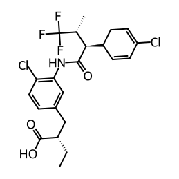 CC[C@@H](Cc1ccc(Cl)c(NC(=O)[C@H](C2C=CC(Cl)=CC2)[C@@H](C)C(F)(F)F)c1)C(=O)O